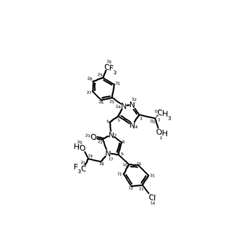 C[C@H](O)c1nc(Cn2cc(-c3ccc(Cl)cc3)n(CC(O)C(F)(F)F)c2=O)n(-c2cccc(C(F)(F)F)c2)n1